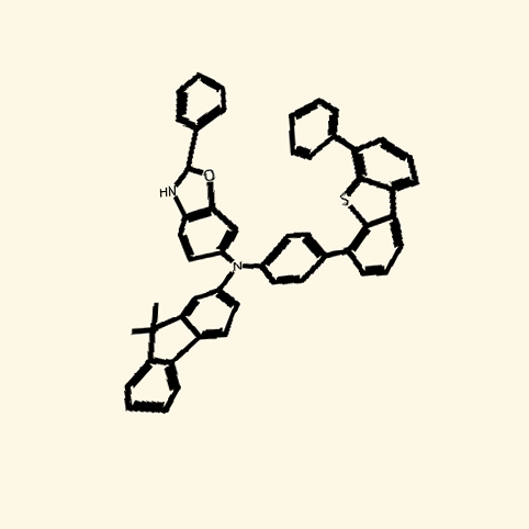 CC1(C)c2ccccc2-c2ccc(N(c3ccc(-c4cccc5c4sc4c(-c6ccccc6)cccc45)cc3)c3ccc4c(c3)OC(c3ccccc3)N4)cc21